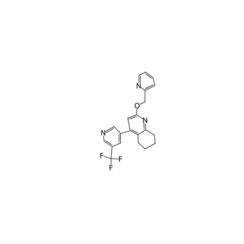 FC(F)(F)c1cncc(-c2cc(OCc3ccccn3)nc3c2CCCC3)c1